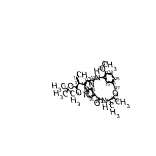 C/C=C(/C(=O)OC(C)(C)C)c1cc2nc3c(cnn13)C(=O)N[C@@H](C)C(C)OCc1ccc(OC)c(c1)N2